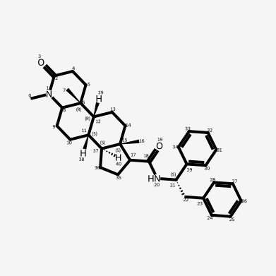 CN1C(=O)CC[C@@]2(C)C1CC[C@@H]1[C@H]2CC[C@]2(C)C(C(=O)N[C@@H](Cc3ccccc3)c3ccccc3)CC[C@@H]12